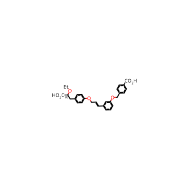 CCO[C@@H](Cc1ccc(OCC=Cc2cccc(OCc3ccc(C(=O)O)cc3)c2)cc1)C(=O)O